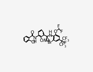 COc1c(NC(=O)c2ccccc2Cl)cccc1C(=O)Nc1c(Br)cc(C(F)(C(F)(F)F)C(F)(F)F)cc1OC(F)F